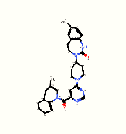 COc1ccc2c(c1)CCN(C1CCN(c3cc(C(=O)N4CC(C)CC5CCCC=C54)ncn3)CC1)C(=O)N2